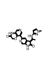 CC(Nc1ccn(C)n1)=C1C(=O)Nc2cnc(-c3cncc4c3OCC(=O)N4)cc21